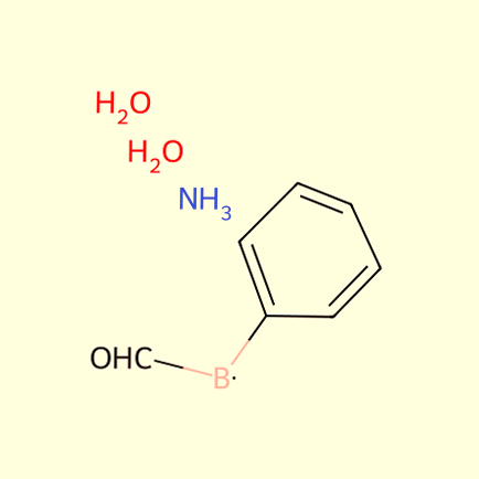 N.O.O.O=C[B]c1ccccc1